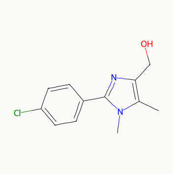 Cc1c(CO)nc(-c2ccc(Cl)cc2)n1C